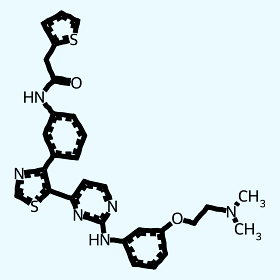 CN(C)CCOc1cccc(Nc2nccc(-c3scnc3-c3cccc(NC(=O)Cc4cccs4)c3)n2)c1